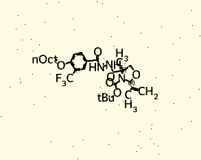 C=C(C)[C@H]1OC[C@@](C)(C(=O)NNC(=O)c2ccc(OCCCCCCCC)c(C(F)(F)F)c2)N1C(=O)OC(C)(C)C